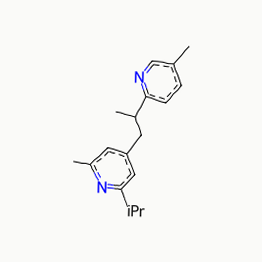 Cc1ccc(C(C)Cc2cc(C)nc(C(C)C)c2)nc1